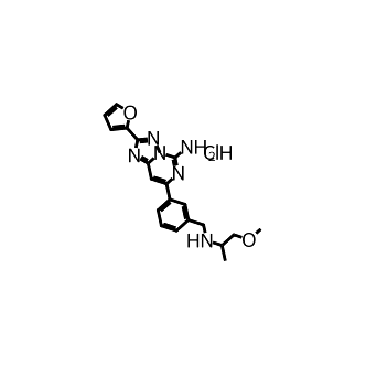 COCC(C)NCc1cccc(-c2cc3nc(-c4ccco4)nn3c(N)n2)c1.Cl